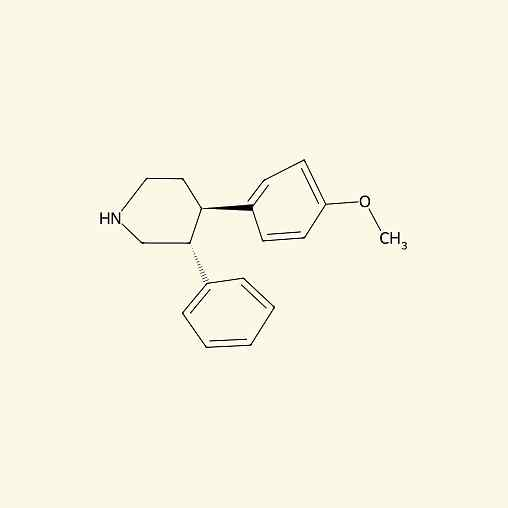 COc1ccc([C@@H]2CCNC[C@H]2c2ccccc2)cc1